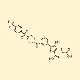 Cc1c(-c2cccc(NC3CCN(S(=O)(=O)c4ccc(C(F)(F)F)cc4)CC3)c2)sc(C(=O)O)c1OCC(=O)O